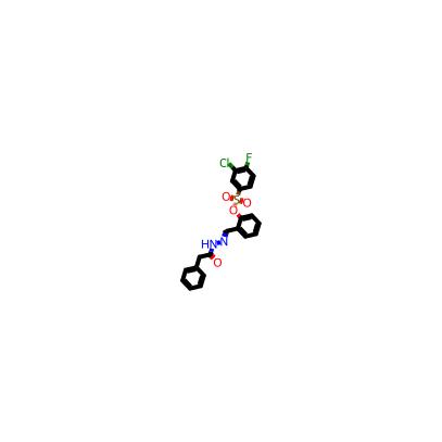 O=C(Cc1ccccc1)N/N=C/c1ccccc1OS(=O)(=O)c1ccc(F)c(Cl)c1